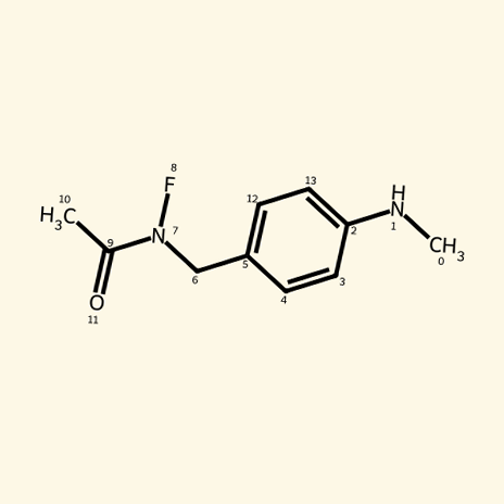 CNc1ccc(CN(F)C(C)=O)cc1